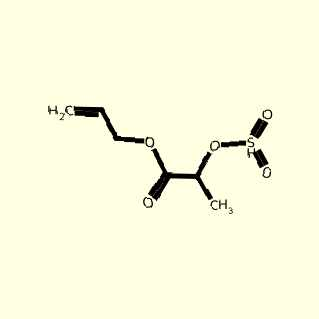 C=CCOC(=O)C(C)O[SH](=O)=O